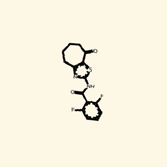 O=C1CCCCc2nc(NC(=O)c3c(F)cccc3F)sc21